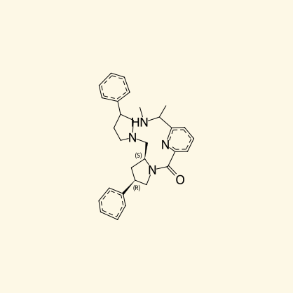 CNC(C)c1cccc(C(=O)N2C[C@@H](c3ccccc3)C[C@H]2CN2CCC(c3ccccc3)C2)n1